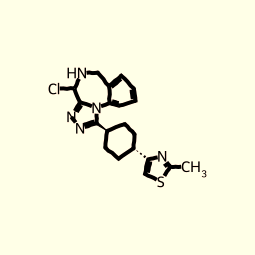 Cc1nc([C@H]2CC[C@H](c3nnc4n3-c3ccccc3CNC4Cl)CC2)cs1